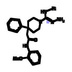 CCN/C(=N\N)N1CCC(CC(=O)Nc2ccccc2OC)(c2ccccc2)CC1